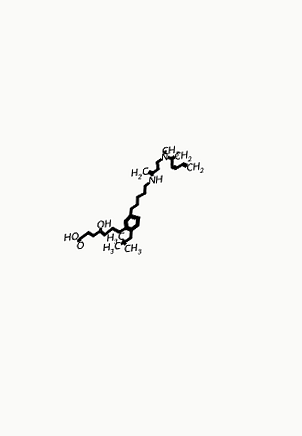 C=C/C=C\C(=C)N(C)CCC(=C)NCCCCCc1ccc(CC(C)(C)C)c(CCCC(O)CCC(=O)O)c1